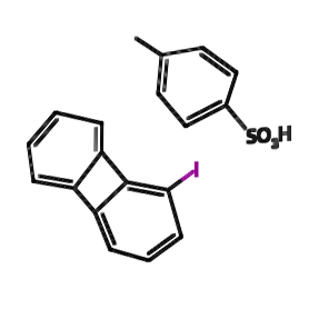 Cc1ccc(S(=O)(=O)O)cc1.Ic1cccc2c1-c1ccccc1-2